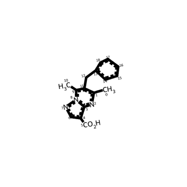 Cc1nc2c(C(=O)O)cnn2c(C)c1Cc1ccccc1